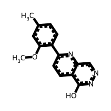 COc1cc(C)ccc1-c1ccc2c(O)nncc2n1